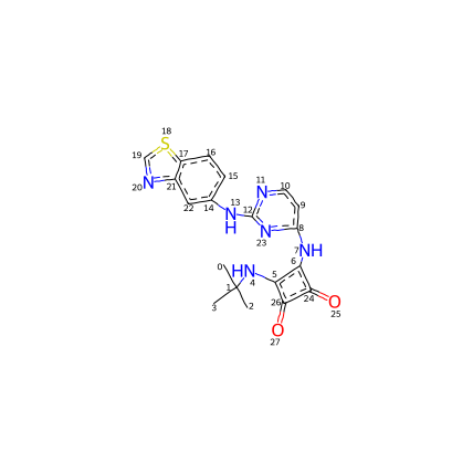 CC(C)(C)Nc1c(Nc2ccnc(Nc3ccc4scnc4c3)n2)c(=O)c1=O